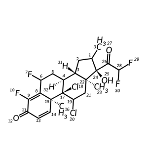 CC1C[C@H]2[C@@H]3CC(F)C4=C(F)C(=O)C=C[C@]4(C)[C@@]3(Cl)C(Cl)C[C@]2(C)[C@@]1(O)C(=O)C(F)F